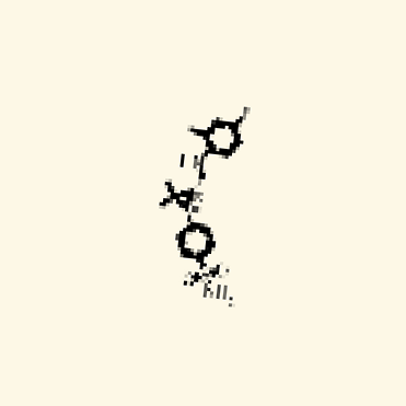 Cc1cc(F)ccc1NC[C@@H]1[C@@H](c2ccc(S(N)(=O)=O)cc2)C1(C)C